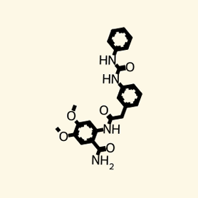 COc1cc(NC(=O)Cc2cccc(NC(=O)Nc3ccccc3)c2)c(C(N)=O)cc1OC